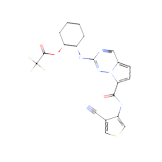 N#Cc1cscc1NC(=O)c1ccc2cnc(N[C@@H]3CCCC[C@@H]3OC(=O)C(F)(F)F)nn12